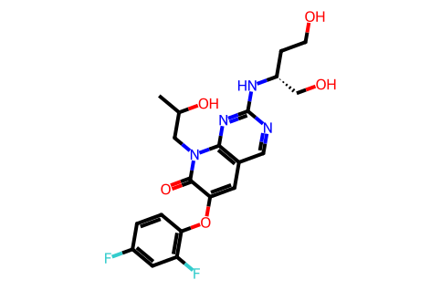 CC(O)Cn1c(=O)c(Oc2ccc(F)cc2F)cc2cnc(N[C@@H](CO)CCO)nc21